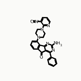 [C-]#[N+]c1cccnc1N1CCN(c2cccc3c2-c2nc(N)nc(-c4ccccc4)c2C3=O)CC1